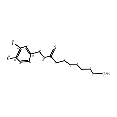 CCCCCCCCCCCCCCCCCC(=O)OCc1ccc(Br)c(Br)c1